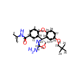 CC(C)NC(=O)c1ccc2c(c1)[C@@]1(COC(N)=N1)c1cc(OCC(C)(C)C)ccc1O2